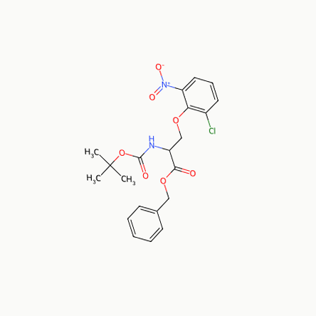 CC(C)(C)OC(=O)NC(COc1c(Cl)cccc1[N+](=O)[O-])C(=O)OCc1ccccc1